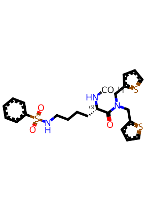 O=C(O)N[C@@H](CCCCNS(=O)(=O)c1ccccc1)C(=O)N(Cc1cccs1)Cc1cccs1